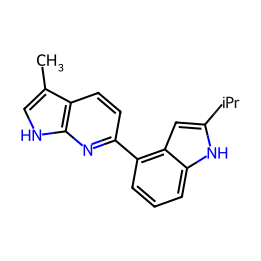 Cc1c[nH]c2nc(-c3cccc4[nH]c(C(C)C)cc34)ccc12